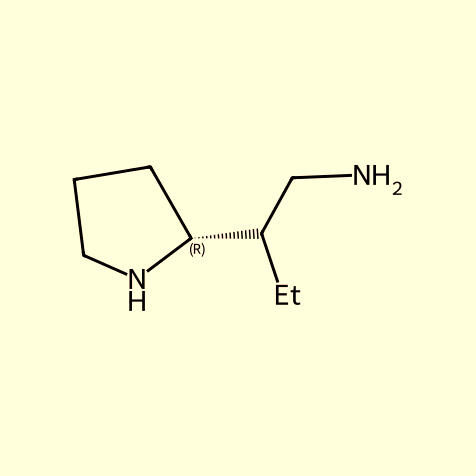 CCC(CN)[C@H]1CCCN1